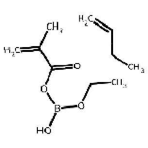 C=C(C)C(=O)OB(O)OCC.C=CCC